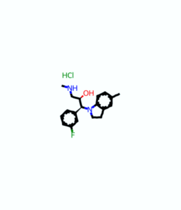 CNC[C@@H](O)[C@H](c1cccc(F)c1)N1CCc2cc(C)ccc21.Cl